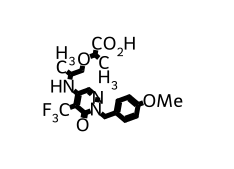 COc1ccc(Cn2ncc(NC(C)COC(C)C(=O)O)c(C(F)(F)F)c2=O)cc1